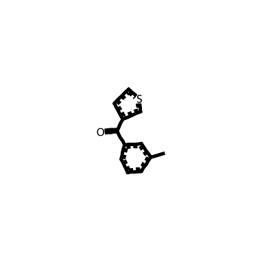 Cc1cccc(C(=O)c2ccsc2)c1